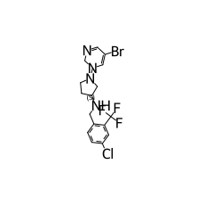 FC(F)(F)c1cc(Cl)ccc1CN[C@H]1CCN(N2C=C(Br)C=NC2)C1